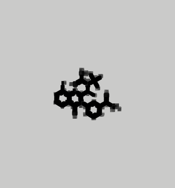 C[C@@H](c1nc2c(I)cccc2c(=O)n1-c1cccc(C(N)=O)c1)N(C(=O)O)C(C)(C)C